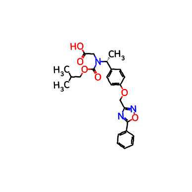 CC(C)COC(=O)N(CC(=O)O)[C@H](C)c1ccc(OCc2noc(-c3ccccc3)n2)cc1